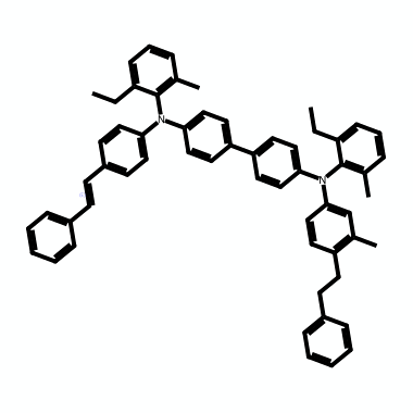 CCc1cccc(C)c1N(c1ccc(/C=C/c2ccccc2)cc1)c1ccc(-c2ccc(N(c3ccc(CCc4ccccc4)c(C)c3)c3c(C)cccc3CC)cc2)cc1